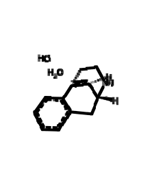 Cl.O.c1ccc2c(c1)C[C@H]1NCC[C@@]23CCCC[C@@H]13